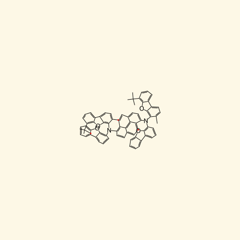 Cc1ccc2c(oc3c(C(C)(C)C)cccc32)c1N(c1ccc2ccc3c(N(c4cccc5c4oc4ccccc45)c4c(C)ccc5c4oc4c(C(C)(C)C)cccc45)ccc4ccc1c2c43)c1cccc2c1oc1ccccc12